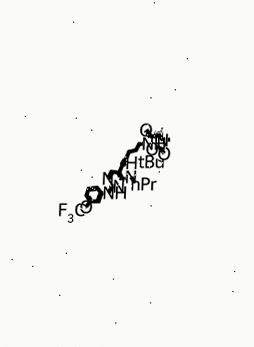 CCCNc1nc(Nc2cccc(OC(F)(F)F)c2)ncc1C#CCCCNC(=O)[C@H](C)N(C)C(=O)OC(C)(C)C